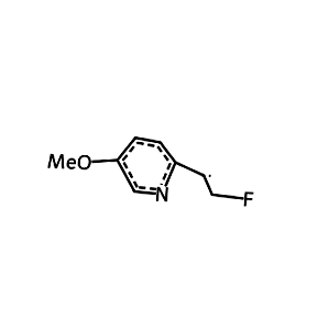 COc1ccc([CH]CF)nc1